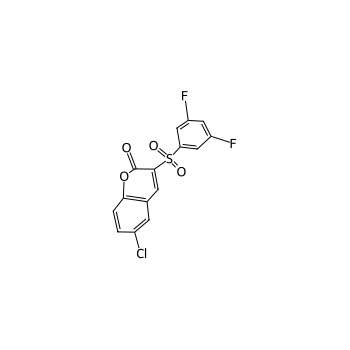 O=c1oc2ccc(Cl)cc2cc1S(=O)(=O)c1cc(F)cc(F)c1